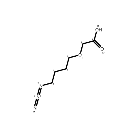 [N-]=[N+]=NCCCCOCC(=O)O